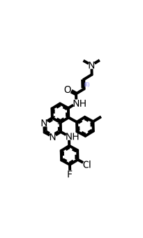 Cc1cccc(-c2c(NC(=O)/C=C/CN(C)C)ccc3ncnc(Nc4ccc(F)c(Cl)c4)c23)c1